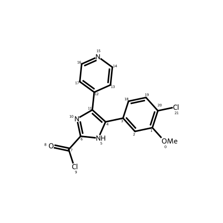 COc1cc(-c2[nH]c(C(=O)Cl)nc2-c2ccncc2)ccc1Cl